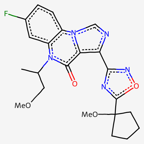 COCC(C)n1c(=O)c2c(-c3noc(C4(OC)CCCC4)n3)ncn2c2ccc(F)cc21